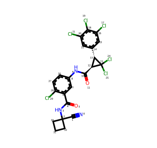 N#CC1(NC(=O)c2cc(NC(=O)[C@H]3[C@H](c4cc(Cl)c(Cl)c(Cl)c4)C3(Cl)Cl)ccc2Cl)CCC1